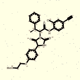 C#Cc1ccc(NC(=O)[C@H]([C@@H](C)c2ccccc2)N2C(=O)NC(c3ccc(OCCOC)cc3)C2=O)c(Cl)c1